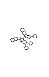 c1ccc(-c2ccc3c(c2)c2cc4ccccc4cc2n3-c2nc(-c3ccc4ccccc4c3)nc3cc(-c4ccccc4)c(-c4ccccc4)cc23)cc1